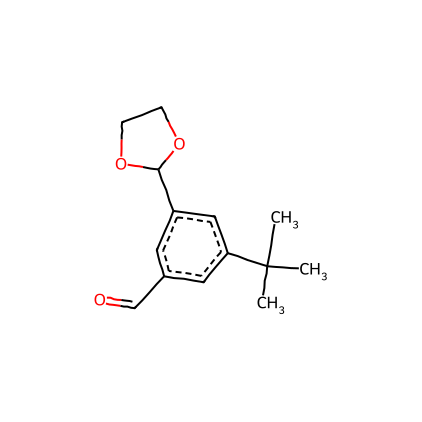 CC(C)(C)c1cc(C=O)cc(C2OCCO2)c1